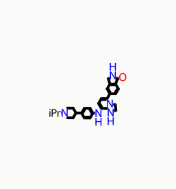 CC(C)N1CCC(c2ccc(NC3=CC=C(c4ccc5c(c4)CNC5=O)N4CCNC34)cc2)CC1